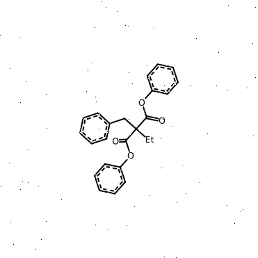 CCC(Cc1ccccc1)(C(=O)Oc1ccccc1)C(=O)Oc1ccccc1